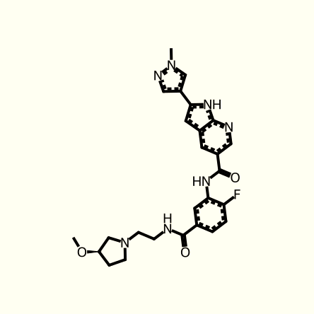 CO[C@@H]1CCN(CCNC(=O)c2ccc(F)c(NC(=O)c3cnc4[nH]c(-c5cnn(C)c5)cc4c3)c2)C1